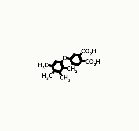 Cc1cc(Oc2ccc(C(=O)O)c(C(=O)O)c2)c(C)c(C)c1C